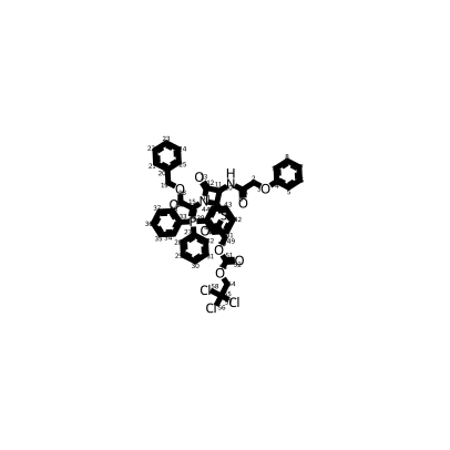 O=C(COc1ccccc1)NC1C(=O)N(C(C(=O)OCc2ccccc2)=P(c2ccccc2)(c2ccccc2)c2ccccc2)C1SC(=O)COC(=O)OCC(Cl)(Cl)Cl